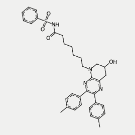 Cc1ccc(-c2nc3c(nc2-c2ccc(C)cc2)N(CCCCCCC(=O)NS(=O)(=O)c2ccccc2)CC(O)C3)cc1